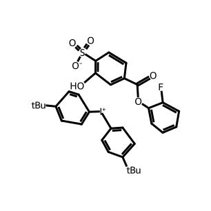 CC(C)(C)c1ccc([I+]c2ccc(C(C)(C)C)cc2)cc1.O=C(Oc1ccccc1F)c1ccc(S(=O)(=O)[O-])c(O)c1